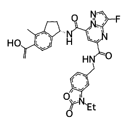 C=C(O)c1ccc2c(c1C)CC[C@@H]2NC(=O)c1cc(C(=O)NCc2ccc3oc(=O)n(CC)c3c2)nc2c(F)cnn12